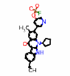 C#Cc1ccc2c(c1)[nH]c1c2c(=O)c2cc(C)c(-c3cncc(OS(=O)(=O)F)c3)cc2n1C1CCCC1